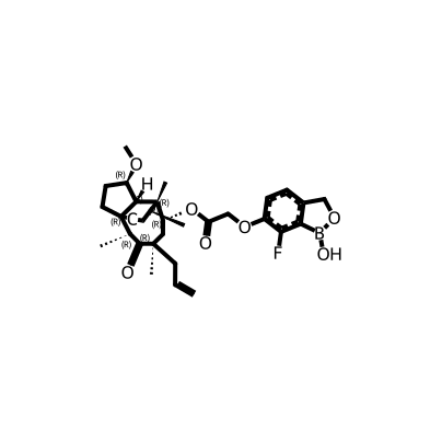 C=CC[C@]1(C)C[C@@H](OC(=O)COc2ccc3c(c2F)B(O)OC3)[C@]2(C)[C@H](C)CC[C@]3(CC[C@@H](OC)[C@@H]32)[C@@H](C)C1=O